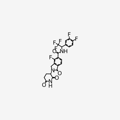 O=C1CCC(N2Cc3c(ccc(C(=O)NC(c4ccc(F)c(F)c4)C(F)(F)F)c3F)C2=O)C(=O)N1